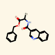 CCC(NC(=O)c1cnc2ccccc2c1)C(=O)OCc1ccccc1